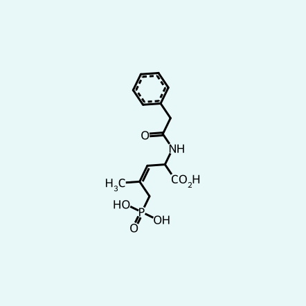 CC(=CC(NC(=O)Cc1ccccc1)C(=O)O)CP(=O)(O)O